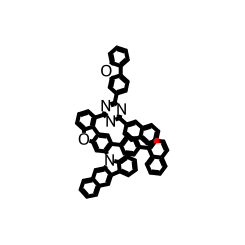 c1ccc2cc(-c3nc(-c4ccc5c(c4)oc4ccccc45)nc(-c4cccc5oc6cc(-n7c8ccccc8c8cc9ccccc9cc87)c(-c7ccc(-c8cccc9ccccc89)cc7)cc6c45)n3)ccc2c1